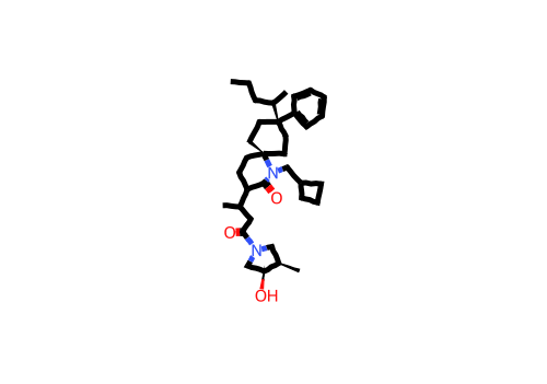 CCCC(C)[C@]1(c2ccccc2)CC[C@@]2(CCC(C(C)CC(=O)N3C[C@@H](C)[C@@H](O)C3)C(=O)N2CC2CCC2)CC1